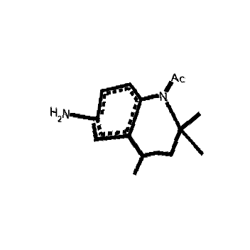 CC(=O)N1c2ccc(N)cc2C(C)CC1(C)C